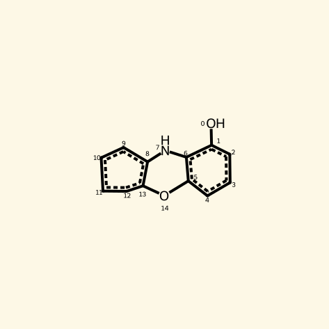 Oc1cccc2c1Nc1ccccc1O2